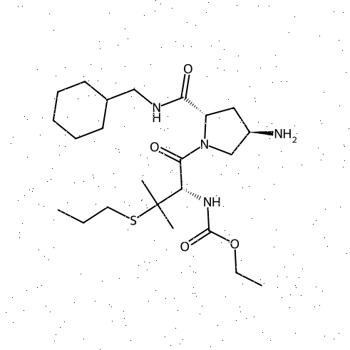 CCCSC(C)(C)[C@@H](NC(=O)OCC)C(=O)N1C[C@H](N)C[C@H]1C(=O)NCC1CCCCC1